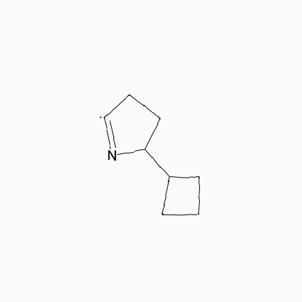 [C]1=NC(C2CCC2)CC1